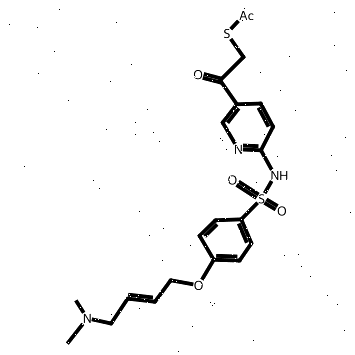 CC(=O)SCC(=O)c1ccc(NS(=O)(=O)c2ccc(OC/C=C/CN(C)C)cc2)nc1